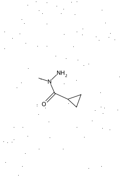 CN(N)C(=O)C1CC1